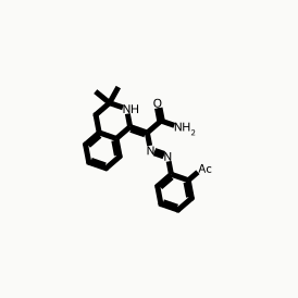 CC(=O)c1ccccc1N=NC(C(N)=O)=C1NC(C)(C)Cc2ccccc21